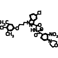 Cc1cc(OCCCn2nc(C(=O)NS(=O)(=O)c3ccc(N4CCOCC4)c([N+](=O)[O-])c3)c3cc(Cl)ccc32)cc(C)c1Cl